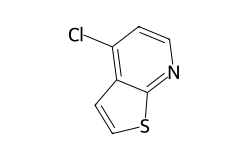 Clc1ccnc2sccc12